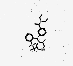 CCN(CC)C(=O)c1cccc([C@H](c2ccccc2[Si](C)(C)C(C)(C)C)N2C[C@@H](C)NC[C@@H]2C)c1